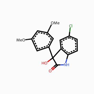 COc1cc(OC)cc(C2(O)C(=O)Nc3ccc(Cl)cc32)c1